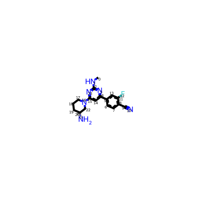 CNc1nc(-c2ccc(C#N)c(F)c2)cc(N2CCC[C@@H](N)C2)n1